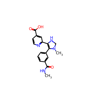 CNC(=O)c1cccc(C2=C(c3cc(C(=O)O)ccn3)NCN2C)c1